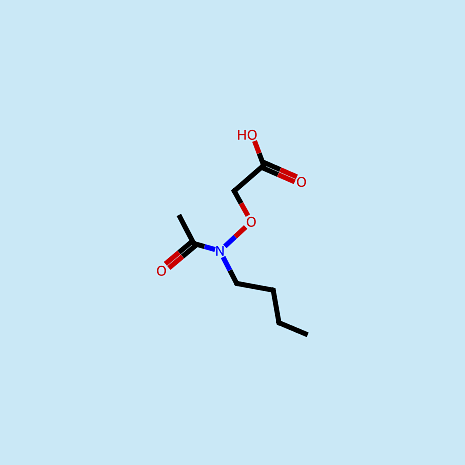 CCCCN(OCC(=O)O)C(C)=O